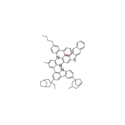 CCCCc1ccc(N2c3cc4c(cc3B3c5c(cc(C)cc52)-c2cc(C5(CC)CC6CCC(C6)C5)cc5c6cc(C78CC=C(CC(C)C7)C8)ccc6n3c25)sc2cc3ccccc3cc24)c(-c2ccccc2)c1